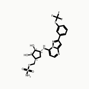 NS(=O)(=O)OC[C@@H]1C[C@@H](Nc2ccnc3cc(-c4cccc(SC(F)(F)F)c4)nn23)[C@H](O)[C@@H]1O